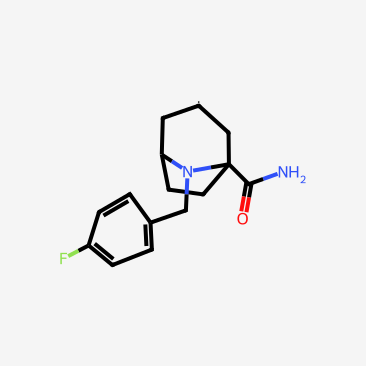 NC(=O)C12C[CH]CC(CC1)N2Cc1ccc(F)cc1